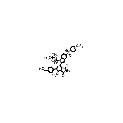 CN1CCN(S(=O)(=O)c2ccc3c(c2)cc(-c2cc(-c4ccc(CO)cc4)c(N)c4c2C(=O)NC4=O)n3C(=O)OC(C)(C)C)CC1